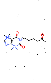 CC(=O)CCCCN1C(=O)C2=C(N=C[N+]2(C)C)[N+](C)(C)C1=O